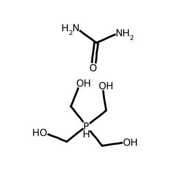 NC(N)=O.OC[PH](CO)(CO)CO